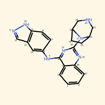 c1ccc2c(Nc3ccc4[nH]ncc4c3)nc(N3C4CCC3CNC4)nc2c1